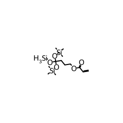 C=CC(=O)OCCCC(O[SiH3])(O[Si](C)(C)C)O[Si](C)(C)C